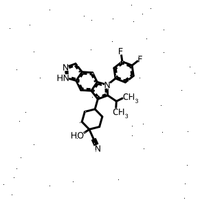 CC(C)c1c(C2CCC(O)(C#N)CC2)c2cc3[nH]ncc3cc2n1-c1ccc(F)c(F)c1